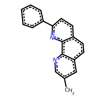 Cc1cnc2c(ccc3ccc(-c4ccccc4)nc32)c1